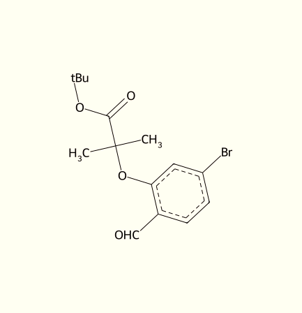 CC(C)(C)OC(=O)C(C)(C)Oc1cc(Br)ccc1C=O